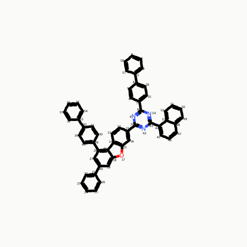 c1ccc(-c2ccc(-c3nc(-c4ccc5c(c4)oc4cc(-c6ccccc6)cc(-c6ccc(-c7ccccc7)cc6)c45)nc(-c4cccc5ccccc45)n3)cc2)cc1